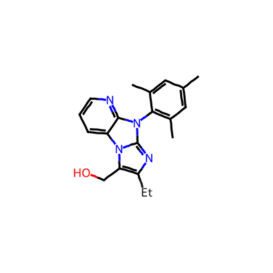 CCc1nc2n(-c3c(C)cc(C)cc3C)c3ncccc3n2c1CO